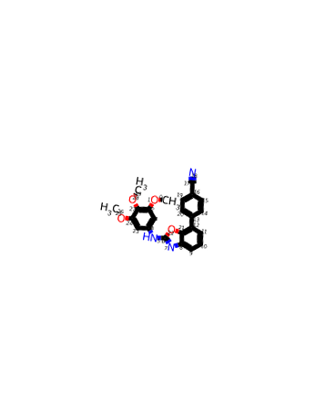 COc1cc(Nc2nc3cccc(-c4ccc(C#N)cc4)c3o2)cc(OC)c1OC